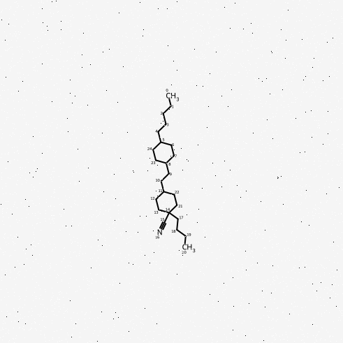 CCCCCC1CCC(CCC2CCC(C#N)(CCCC)CC2)CC1